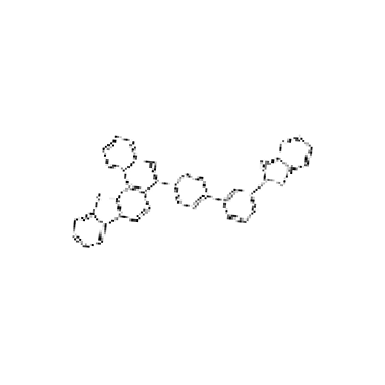 c1cc(-c2ccc(-c3nc4ccccc4c4c3ccc3c5ccccc5sc34)cc2)cc(-c2cn3ccccc3n2)c1